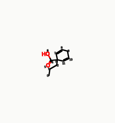 CCCC1(C(=O)O)C=CCC=C1